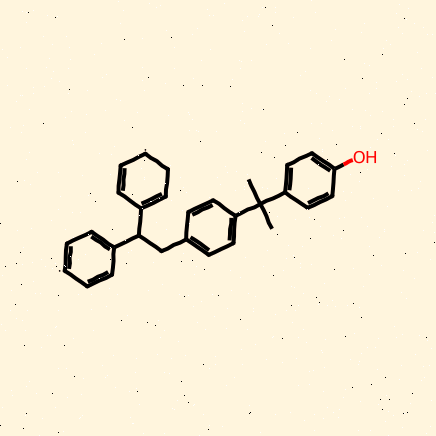 CC(C)(c1ccc(O)cc1)c1ccc(CC(C2=CC[CH]C=C2)c2cc[c]cc2)cc1